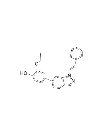 CCOc1cc(-c2ccc3cnn(C=Cc4ccccc4)c3c2)ccc1O